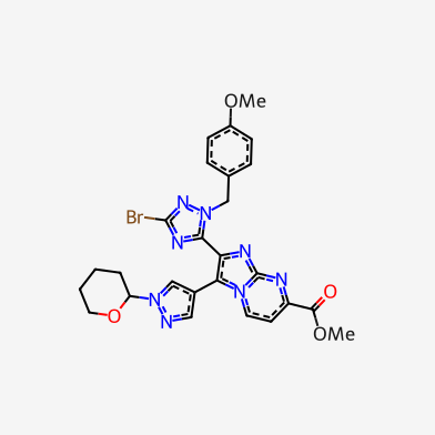 COC(=O)c1ccn2c(-c3cnn(C4CCCCO4)c3)c(-c3nc(Br)nn3Cc3ccc(OC)cc3)nc2n1